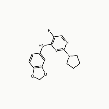 Fc1cnc(N2CCCC2)nc1Nc1ccc2c(c1)OCO2